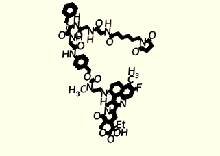 CC[C@@]1(O)C(=O)OCc2c1cc1n(c2=O)Cc2c-1nc1cc(F)c(C)c3c1c2[C@@H](NCCN(C)C(=O)OCc1ccc(NC(=O)CNC(=O)[C@H](Cc2ccccc2)NC(=O)CNC(=O)CNC(=O)CCCCCN2C(=O)C=CC2=O)cc1)CC3